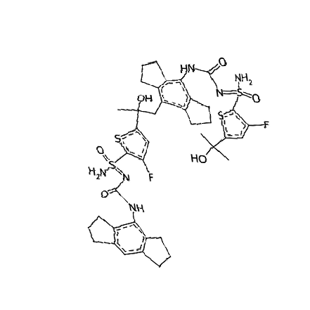 CC(C)(O)c1cc(F)c(S(N)(=O)=NC(=O)Nc2c3c(c(CC(C)(O)c4cc(F)c(S(N)(=O)=NC(=O)Nc5c6c(cc7c5CCC7)CCC6)s4)c4c2CCC4)CCC3)s1